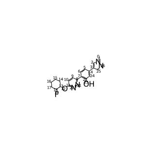 Cn1cc(-c2ccc(-c3ccc(O[C@H]4CCCC[C@H]4F)nn3)c(O)c2)cn1